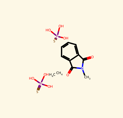 C.C.CN1C(=O)c2ccccc2C1=O.OP(O)(O)=S.OP(O)(O)=S